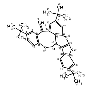 C=C1c2cc(C(C)(C)C)ccc2SCB2c3c(cc(C(C)(C)C)cc31)Sc1sc3cc(C(C)(C)C)ccc3c12